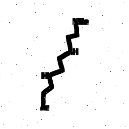 CNCCNCCNCCC(C)=O